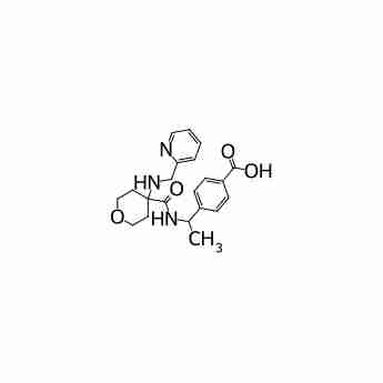 CC(NC(=O)C1(NCc2ccccn2)CCOCC1)c1ccc(C(=O)O)cc1